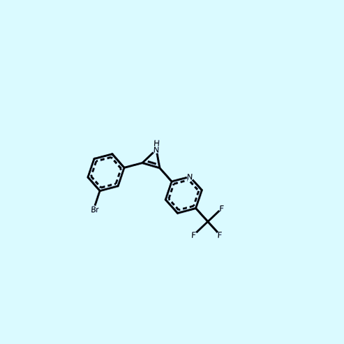 FC(F)(F)c1ccc(C2=C(c3cccc(Br)c3)N2)nc1